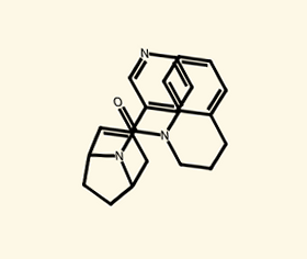 O=C(N1CCCc2ccccc21)N1C2C=C(c3cccnc3)CC1CC2